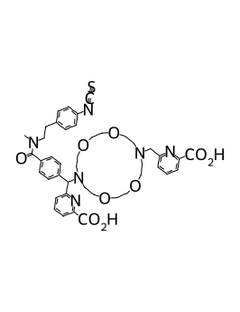 CN(CCc1ccc(N=C=S)cc1)C(=O)c1ccc(C(c2cccc(C(=O)O)n2)N2CCOCCOCCN(Cc3cccc(C(=O)O)n3)CCOCCOCC2)cc1